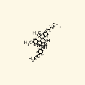 C/C=C/c1c(-c2ccc(CCCCC)cc2)[nH]c(=O)c(C(=O)Nc2ccc(OCC)cc2)c1-c1ccc(C)cc1